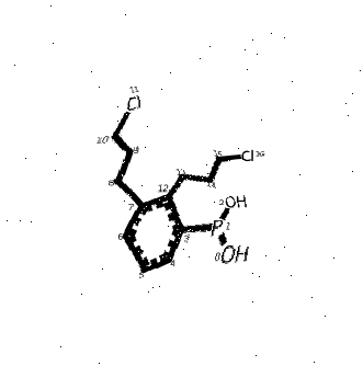 OP(O)c1cccc(CCCCl)c1CCCCl